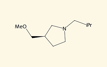 COC[C@@H]1CCN(CC(C)C)C1